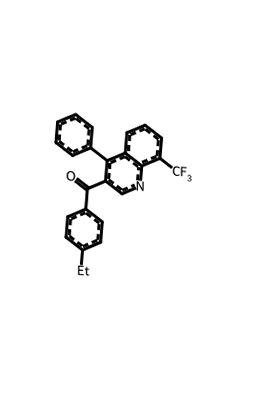 CCc1ccc(C(=O)c2cnc3c(C(F)(F)F)cccc3c2-c2ccccc2)cc1